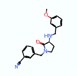 COc1cccc(CN[C@H]2CCN(Cc3cccc(C#N)c3)C2=O)c1